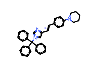 C(=C\c1cn(C(c2ccccc2)(c2ccccc2)c2ccccc2)cn1)/c1ccc(N2CCCCC2)cc1